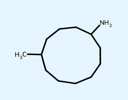 CC1CCCCCCC(N)CCC1